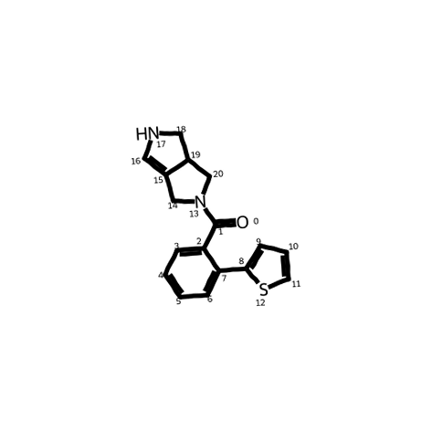 O=C(c1ccccc1-c1cccs1)N1CC2=CNCC2C1